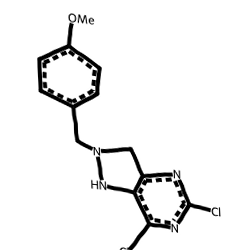 COc1ccc(CN2Cc3nc(Cl)nc(Cl)c3N2)cc1